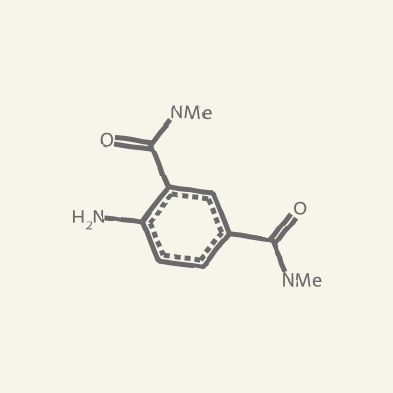 CNC(=O)c1ccc(N)c(C(=O)NC)c1